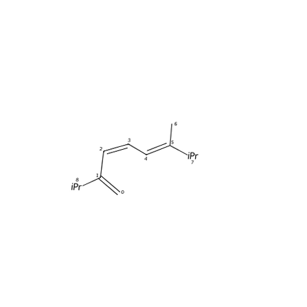 C=C(/C=C\C=C(/C)C(C)C)C(C)C